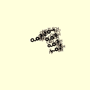 CC(C)(C)CCc1ccc(N2CC(=O)NS2(=O)=O)c(O)c1.Cc1cc(C)c(C(C)c2ccc(N3CC(=O)NS3(=O)=O)c(O)c2)c(C)c1.O=C1CN(c2ccc(CC3CCCC3)cc2O)S(=O)(=O)N1.O=C1CN(c2ccc(CC3CCCCC3)cc2O)S(=O)(=O)N1.O=C1CN(c2ccc(CCC(F)(F)F)cc2O)S(=O)(=O)N1